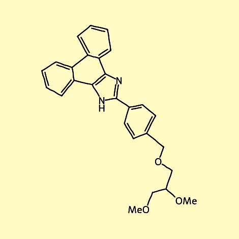 COCC(COCc1ccc(-c2nc3c4ccccc4c4ccccc4c3[nH]2)cc1)OC